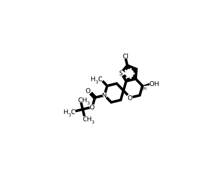 CC1CC2(CCN1C(=O)OC(C)(C)C)OC[C@H](O)c1cc(Cl)sc12